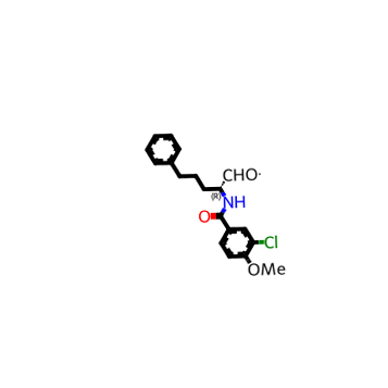 COc1ccc(C(=O)N[C@@H]([C]=O)CCCc2ccccc2)cc1Cl